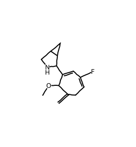 C=C1CC=C(F)C=C(C2NCC3CC32)C1OC